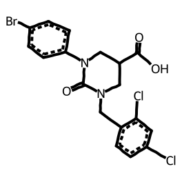 O=C(O)C1CN(Cc2ccc(Cl)cc2Cl)C(=O)N(c2ccc(Br)cc2)C1